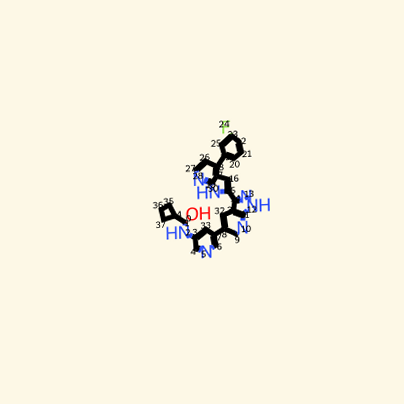 OC(Nc1cncc(-c2cnc3[nH]nc(-c4cc5c(-c6cccc(F)c6)ccnc5[nH]4)c3c2)c1)C1CCC1